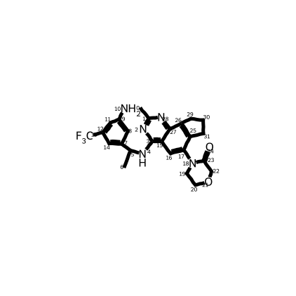 Cc1nc(NC(C)c2cc(N)cc(C(F)(F)F)c2)c2cc(N3CCOCC3=O)c3c(c2n1)CCC3